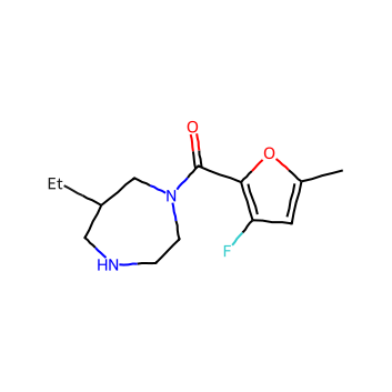 CCC1CNCCN(C(=O)c2oc(C)cc2F)C1